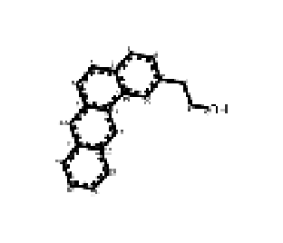 OCCc1ccc2ccc3cc4ccccc4cc3c2c1